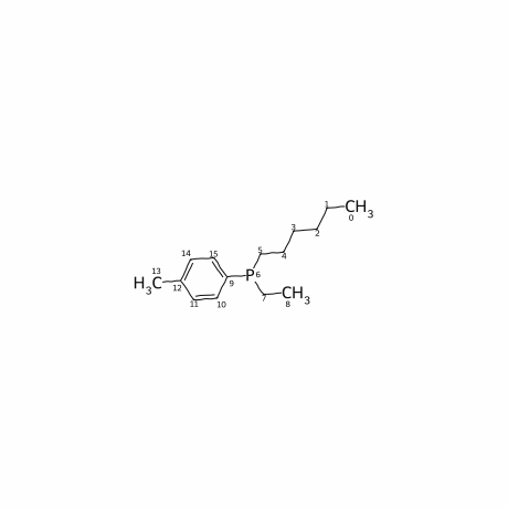 CCCCCCP(CC)c1ccc(C)cc1